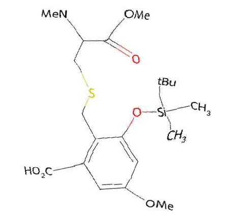 CNC(CSCc1c(O[Si](C)(C)C(C)(C)C)cc(OC)cc1C(=O)O)C(=O)OC